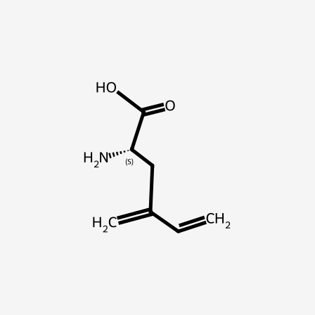 C=CC(=C)C[C@H](N)C(=O)O